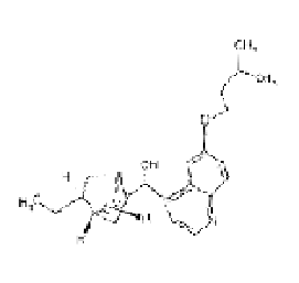 CC[C@H]1C[N@]2CC[C@H]1C[C@H]2[C@H](O)c1ccnc2ccc(OCCC(C)C)cc12